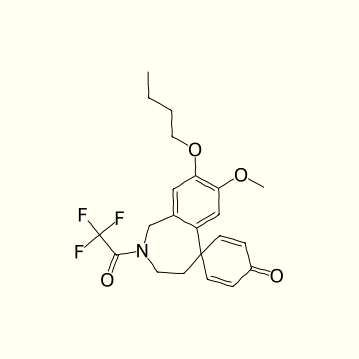 CCCCOc1cc2c(cc1OC)C1(C=CC(=O)C=C1)CCN(C(=O)C(F)(F)F)C2